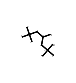 [CH2]C(CC(C)(C)C)CC(C)(C)C